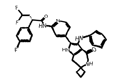 O=C1NC2(CCC2)Cc2[nH]c(-c3ccnc(NC(=O)[C@@H](CC(F)F)c4ccc(F)cc4)c3)c(Nc3ccccc3)c21